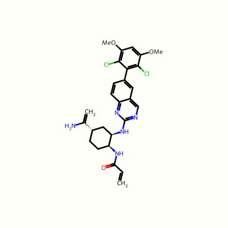 C=CC(=O)N[C@H]1CC[C@H](C(=C)N)C[C@H]1Nc1ncc2cc(-c3c(Cl)c(OC)cc(OC)c3Cl)ccc2n1